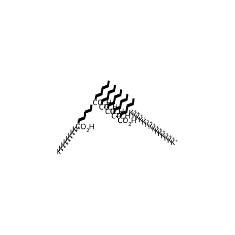 CC=CC=CC(=O)O.CC=CC=CC(=O)O.CC=CC=CC(=O)O.CC=CC=CC(=O)O.CC=CC=CC(=O)O.CC=CC=CC(=O)O.[K+].[K+].[K+].[K+].[K+].[K+].[K+].[K+].[K+].[K+].[K+].[K+].[K+].[K+].[K+].[K+].[K+].[K+].[K+].[K+].[K+].[K+]